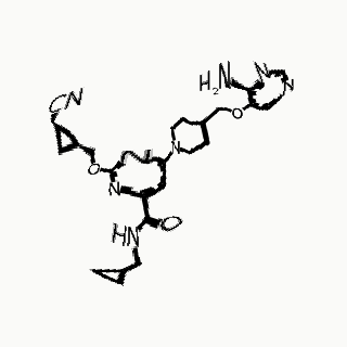 N#C[C@@H]1C[C@@H]1COc1nc(C(=O)NCC2CC2)cc(N2CCC(COc3cncnc3N)CC2)n1